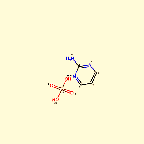 Nc1ncccn1.O=S(=O)(O)O